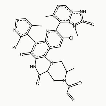 C=CC(=O)N1CC2C(=O)Nc3c(c4cc(Cl)c(-c5c(C)ccc6[nH]c(=O)n(C)c56)nc4n(-c4c(C)ccnc4C(C)C)c3=O)N2CC1C